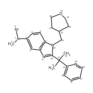 CC(=O)N(C)c1ccc2c(c1)nc(C(C)(C)c1ccccn1)n2CC1CCOCC1